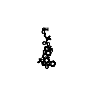 C=C(C)[C@@H]1CC[C@]2(C(=O)N3CCCCC3)CC[C@]3(C)[C@H](CC[C@@H]4[C@@]5(C)CC[C@H](OC(=O)[C@H]6[C@@H](CCOO)C6(C)C)C(C)(C)[C@@H]5CC[C@]43C)[C@@H]12